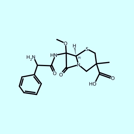 COC1(NC(=O)C(N)c2ccccc2)C(=O)N2CC(C)(C(=O)O)CS[C@@H]21